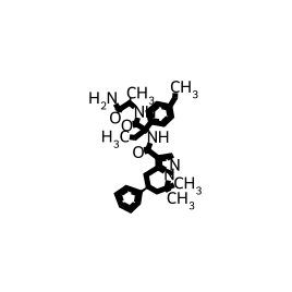 CCc1ccc(C(CC)(NC(=O)c2cnn3c2C[C@H](c2ccccc2)CC3(C)C)C(=O)N[C@@H](C)C(N)=O)cc1